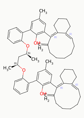 C=C1CCCCC/C=C2/CCCC/C2=C/1c1cc(C)cc(-c2ccccc2O[C@@H](C)C[C@H](C)Oc2ccccc2-c2cc(C)cc(/C3=C4\CCCC\C4=C\CCCCCC3=C)c2O)c1O